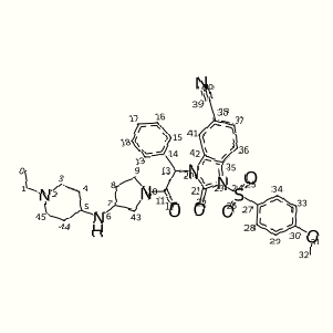 CCN1CCC(NC2CCN(C(=O)C(c3ccccc3)n3c(=O)n(S(=O)(=O)c4ccc(OC)cc4)c4ccc(C#N)cc43)C2)CC1